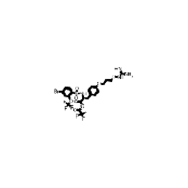 N=C(N)NOCCCOc1ccc(C[C@H](NS(=O)(=O)c2ccc(Br)cc2OC(F)(F)F)C(=O)OC(=O)C(F)(F)F)cc1